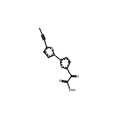 CC#Cc1ccc(-c2ccc(C(=O)C(=O)OC)s2)s1